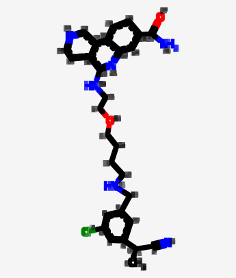 C[C@H](C#N)c1cc(Cl)cc(CNCCCCOCCNc2nc3cc(C(N)=O)ccc3c3cnccc23)c1